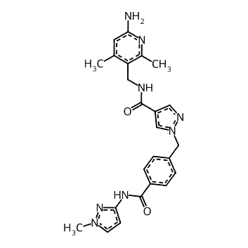 Cc1cc(N)nc(C)c1CNC(=O)c1cnn(Cc2ccc(C(=O)Nc3ccn(C)n3)cc2)c1